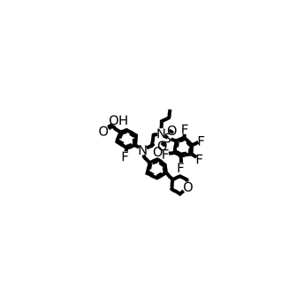 CCCN(CC(=O)N(Cc1ccc(C2CCOCC2)cc1)c1ccc(C(=O)O)cc1F)S(=O)(=O)c1c(F)c(F)c(F)c(F)c1F